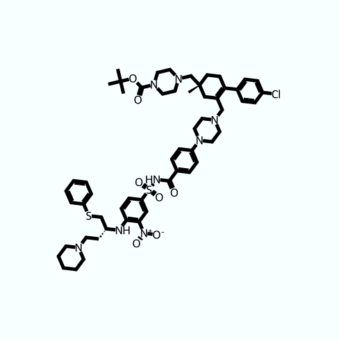 CC(C)(C)OC(=O)N1CCN(C[C@]2(C)CCC(c3ccc(Cl)cc3)=C(CN3CCN(c4ccc(C(=O)NS(=O)(=O)c5ccc(N[C@H](CCN6CCCCC6)CSc6ccccc6)c([N+](=O)[O-])c5)cc4)CC3)C2)CC1